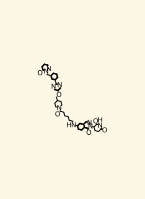 O=C1CCC(n2ncc3cc(NCCCCCC(=O)N4CCC(COc5cnc(-c6cccc(Cn7ncccc7=O)c6)nc5)CC4)ccc3c2=O)C(=O)N1